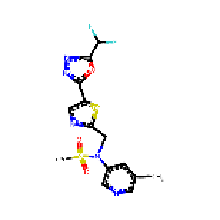 CCCS(=O)(=O)N(Cc1ncc(-c2nnc(C(F)F)o2)s1)c1cncc(C)c1